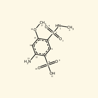 CNS(=O)(=O)c1cc(S(=O)(=O)O)c(N)cc1OC